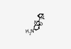 Cn1cccc1-c1nc2cc(N)ccc2o1